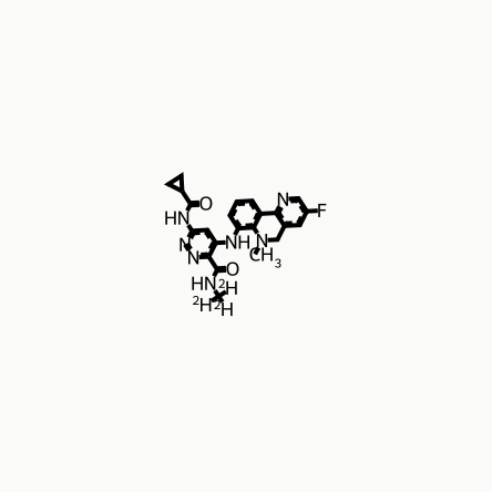 [2H]C([2H])([2H])NC(=O)c1nnc(NC(=O)C2CC2)cc1Nc1cccc2c1N(C)Cc1cc(F)cnc1-2